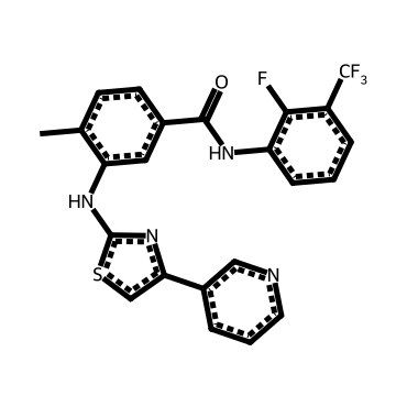 Cc1ccc(C(=O)Nc2cccc(C(F)(F)F)c2F)cc1Nc1nc(-c2cccnc2)cs1